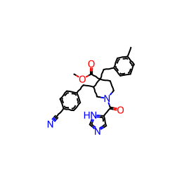 COC(=O)C1(Cc2cccc(C)c2)CCN(C(=O)c2cnc[nH]2)CC1Cc1ccc(C#N)cc1